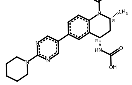 CC(=O)N1c2ccc(-c3cnc(N4CCCCC4)nc3)cc2[C@@H](NC(=O)O)C[C@H]1C